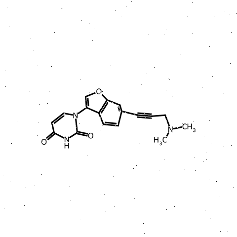 CN(C)CC#Cc1ccc2c(-n3ccc(=O)[nH]c3=O)coc2c1